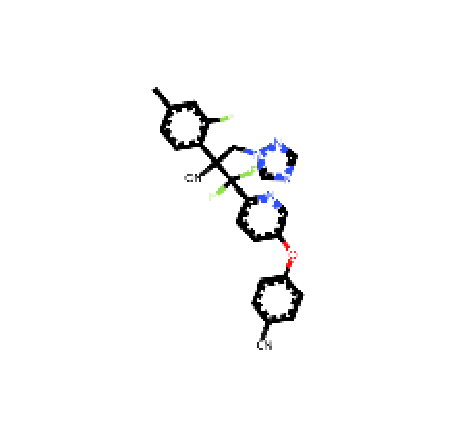 Cc1ccc(C(Cn2cncn2)(N=O)C(F)(F)c2ccc(Oc3ccc(C#N)cc3)cn2)c(F)c1